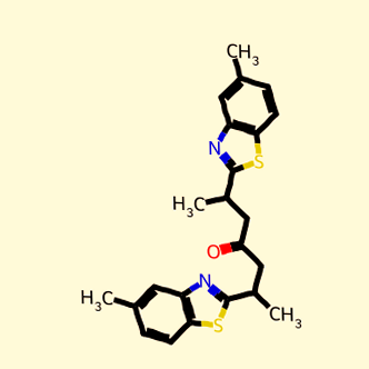 Cc1ccc2sc(C(C)CC(=O)CC(C)c3nc4cc(C)ccc4s3)nc2c1